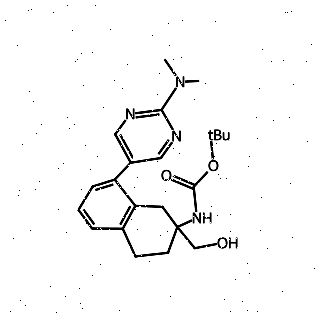 CN(C)c1ncc(-c2cccc3c2CC(CO)(NC(=O)OC(C)(C)C)CC3)cn1